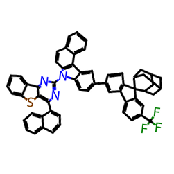 FC(F)(F)c1ccc2c(c1)C1(c3ccc(-c4ccc5c(c4)c4c6ccccc6ccc4n5-c4nc(-c5cccc6ccccc56)c5sc6ccccc6c5n4)cc3-2)C2CC3CC(C2)CC1C3